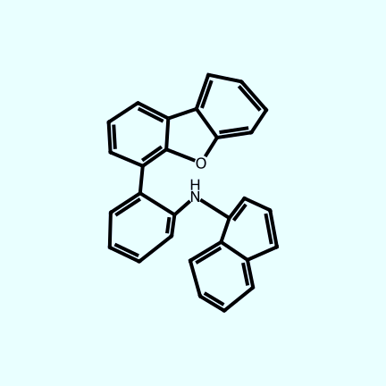 c1ccc(-c2cccc3c2oc2ccccc23)c(Nc2cccc3ccccc23)c1